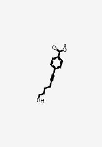 COC(=O)c1ccc(C#CCCCCO)cc1